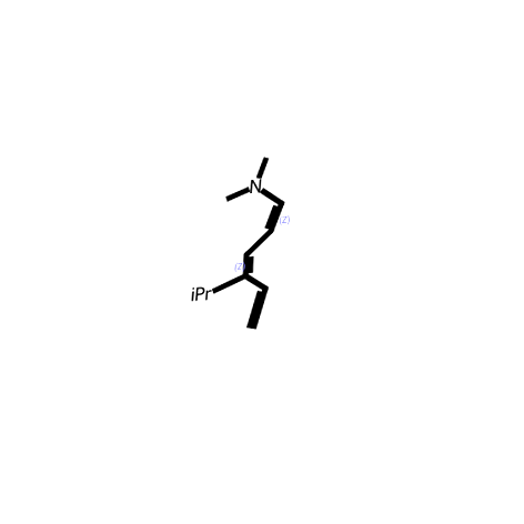 C=C/C(=C\C=C/N(C)C)C(C)C